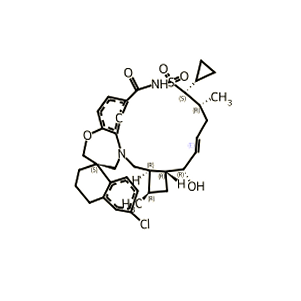 C[C@@H]1C[C@@H]2[C@@H]1CN1C[C@@]3(CCCc4cc(Cl)ccc43)COc3ccc(cc31)C(=O)NS(=O)(=O)[C@H](C1CC1)[C@H](C)C/C=C/[C@@H]2O